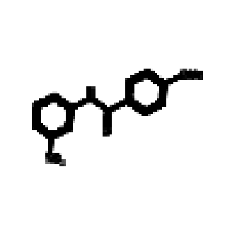 COc1ccc(C(=O)Nc2cccc([N+](=O)[O-])c2)cc1